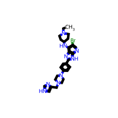 CCN1CCC(Nc2c(Br)cnc3[nH]c(-c4ccc(N5CCN(Cc6c[nH]cn6)CC5)cc4)nc23)CC1